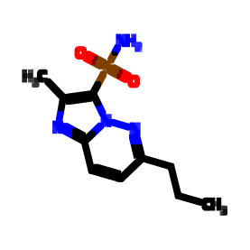 CCCc1ccc2nc(C)c(S(N)(=O)=O)n2n1